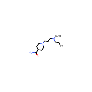 CCCCCCCCN(CCCN1CCC(C(N)=O)CC1)CCC(C)C